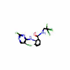 O=C(NCC(F)(F)F)c1ccccc1Nc1nc(Cl)ncc1Br